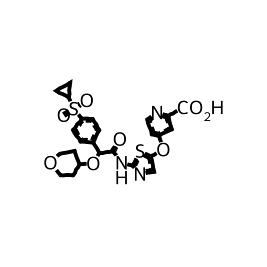 O=C(O)c1cc(Oc2cnc(NC(=O)C(OC3CCOCC3)c3ccc(S(=O)(=O)C4CC4)cc3)s2)ccn1